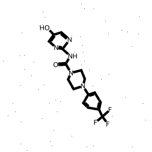 O=C(Nc1ncc(O)cn1)N1CCN(c2ccc(C(F)(F)F)cc2)CC1